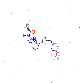 O=C(Nc1nc2cccc(-c3ccc(CN4CCC(OC(F)(F)F)CC4)s3)n2n1)[C@H]1C[C@@H]1F